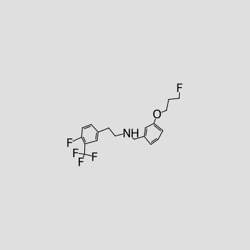 FCCCOc1cccc(CNCCc2ccc(F)c(C(F)(F)F)c2)c1